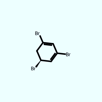 BrC1=C[C@@H](Br)CC(Br)=C1